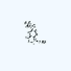 CS(=O)(=O)c1ccc2c([C]=O)cccc2c1